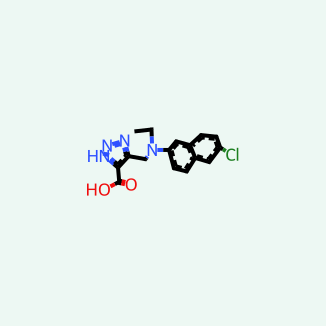 CCN(Cc1nn[nH]c1C(=O)O)c1ccc2cc(Cl)ccc2c1